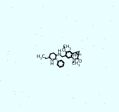 CC[C@H]1CC[C@H](NCc2cc3c(cc2OC)C2C[C@H]2C(=O)N3C)[C@H](c2ccccc2)N1